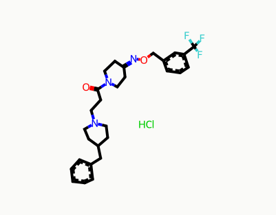 Cl.O=C(CCN1CCC(Cc2ccccc2)CC1)N1CCC(=NOCc2cccc(C(F)(F)F)c2)CC1